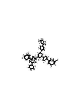 Cc1cccc(-c2ccc(-c3cc(-c4ccc(-c5ncccn5)cc4)cc(-c4nc(-c5ccccc5)nc(-c5ccccc5)n4)c3)cc2)n1